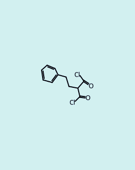 O=C(Cl)C(CCc1ccccc1)C(=O)Cl